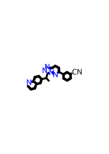 CC(c1ccc2ncccc2c1)c1nnc2ccc(-c3cccc(C#N)c3)nn12